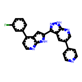 Fc1cccc(-c2ccnc3[nH]c(-c4n[nH]c5ncc(-c6ccncc6)cc45)cc23)c1